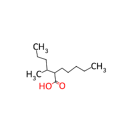 CCCCCC(C(=O)O)C(C)CCC